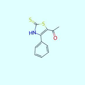 CC(=O)c1sc(=S)[nH]c1-c1ccccc1